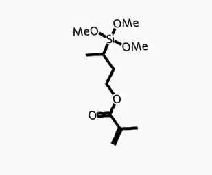 C=C(C)C(=O)OCCC(C)[Si](OC)(OC)OC